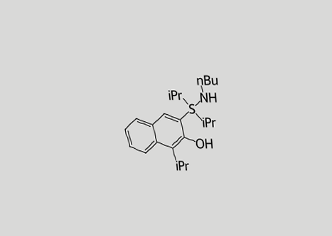 CCCCNS(c1cc2ccccc2c(C(C)C)c1O)(C(C)C)C(C)C